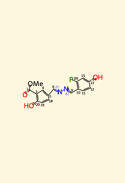 COC(=O)c1cc(/C=N/N=C/c2ccc(O)cc2F)ccc1O